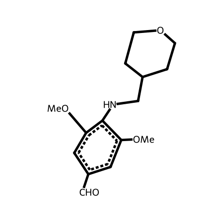 COc1cc(C=O)cc(OC)c1NCC1CCOCC1